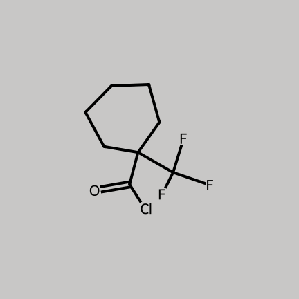 O=C(Cl)C1(C(F)(F)F)CCCCC1